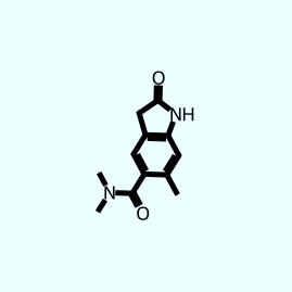 Cc1cc2c(cc1C(=O)N(C)C)CC(=O)N2